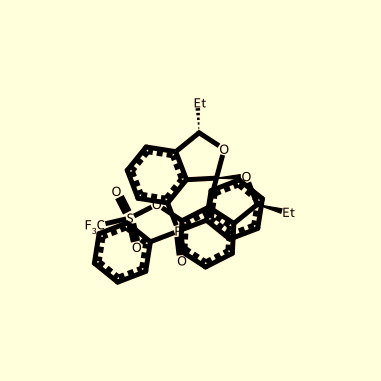 CC[C@@H]1O[C@@]2(O[C@@H](CC)c3cccc(P(=O)(c4ccccc4)c4ccccc4)c32)c2c(OS(=O)(=O)C(F)(F)F)cccc21